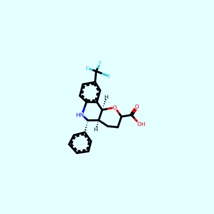 O=C(O)C1CC[C@@H]2[C@H](O1)c1cc(C(F)(F)F)ccc1N[C@H]2c1ccccc1